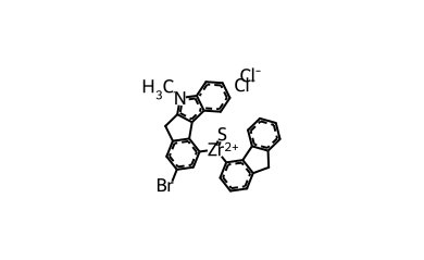 Cn1c2c(c3ccccc31)-c1c(cc(Br)c[c]1[Zr+2](=[S])[c]1cccc3c1-c1ccccc1C3)C2.[Cl-].[Cl-]